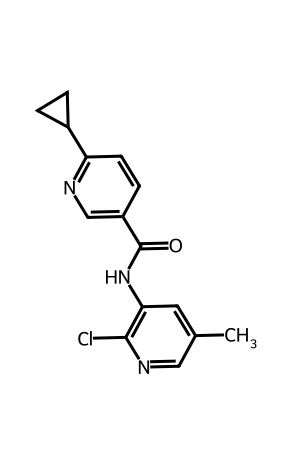 Cc1cnc(Cl)c(NC(=O)c2ccc(C3CC3)nc2)c1